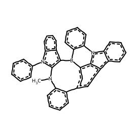 CN1c2ccccc2-c2cc3c4c(c2)c2ccccc2n4-c2ccccc2B3c2c1n(-c1ccccc1)c1ccccc21